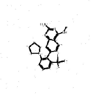 CNc1nc(N)nc2cc(-c3c(N4CCCC4)cccc3C(F)(F)F)ccc12